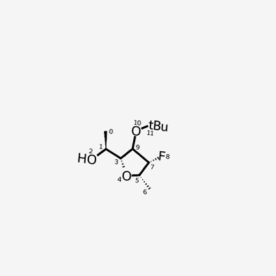 C[C@H](O)[C@H]1O[C@@H](C)[C@@H](F)C1OC(C)(C)C